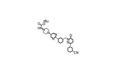 CC(C)(C)OC(=O)NN1CCN(c2cnc(-c3cccc(Cn4nc(-c5cccc(C#N)c5)ccc4=O)c3)nc2)CC1